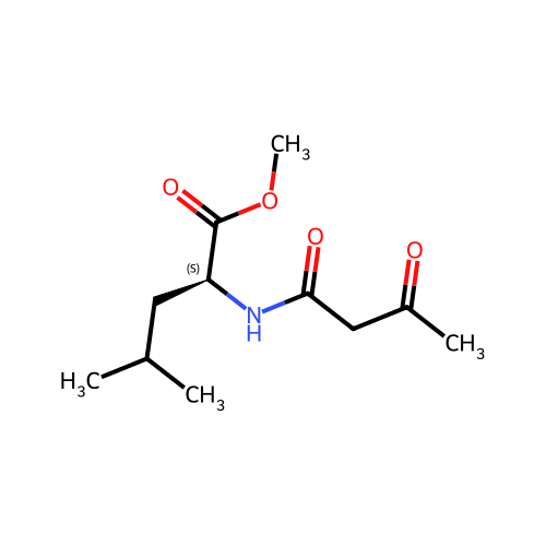 COC(=O)[C@H](CC(C)C)NC(=O)CC(C)=O